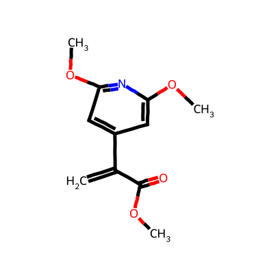 C=C(C(=O)OC)c1cc(OC)nc(OC)c1